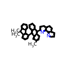 Cc1ccc2c(-c3ccc4ccc5cccnc5c4n3)c3ccccc3c(-c3cccc4c3-c3ccccc3C4(C)C)c2c1